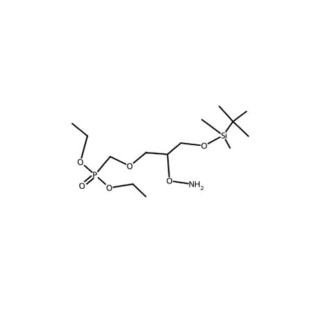 CCOP(=O)(COCC(CO[Si](C)(C)C(C)(C)C)ON)OCC